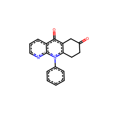 O=C1CCc2c(c(=O)c3cccnc3n2-c2ccccc2)C1